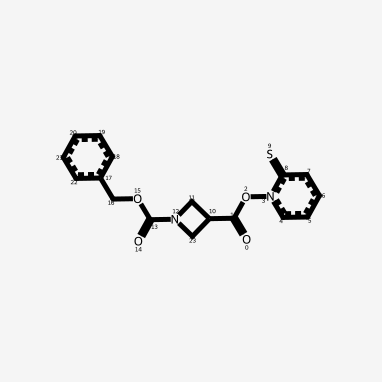 O=C(On1ccccc1=S)C1CN(C(=O)OCc2ccccc2)C1